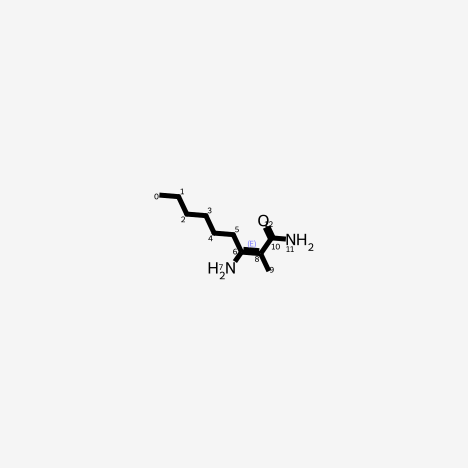 CCCCCC/C(N)=C(/C)C(N)=O